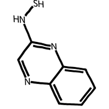 SNc1cnc2ccccc2n1